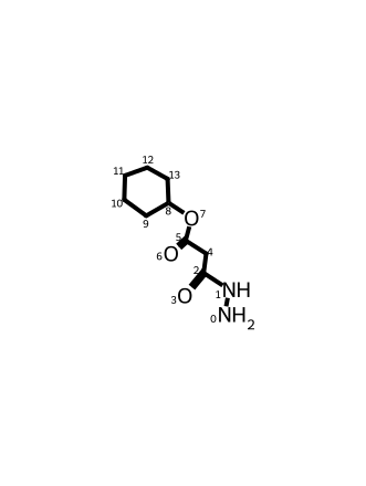 NNC(=O)CC(=O)OC1CCCCC1